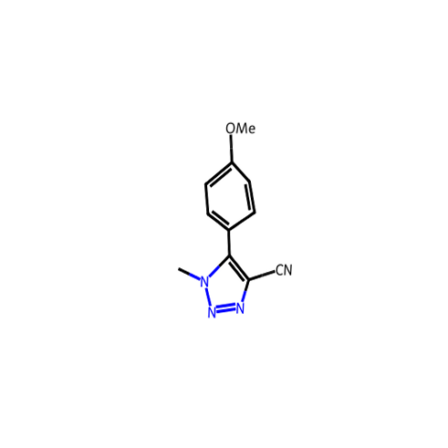 COc1ccc(-c2c(C#N)nnn2C)cc1